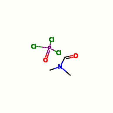 CN(C)C=O.O=P(Cl)(Cl)Cl